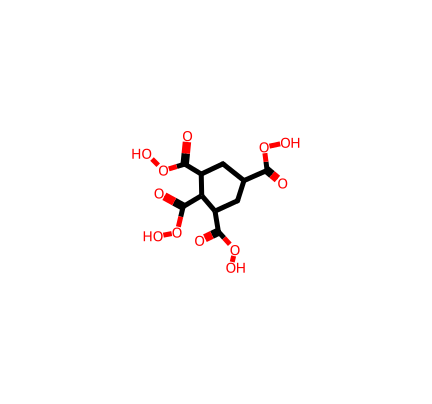 O=C(OO)C1CC(C(=O)OO)C(C(=O)OO)C(C(=O)OO)C1